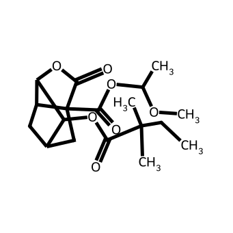 CCC(C)(C)C(=O)OC1C2CC3C1OC(=O)C3(C(=O)OC(C)OC)C2